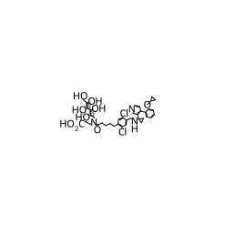 O=C(O)CCN(C[C@H](O)[C@@H](O)[C@H](O)[C@H](O)CO)C(=O)CCCCc1cc(Cl)c(CNC2(c3cnccc3-c3ccccc3OC3CC3)CC2)cc1Cl